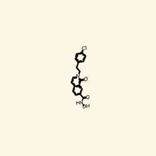 O=C(NO)c1ccc2ccn(CCc3ccc(Cl)cc3)c(=O)c2c1